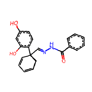 O=C(NN=CC1(c2ccc(O)cc2O)C=CC=CC1)c1ccccc1